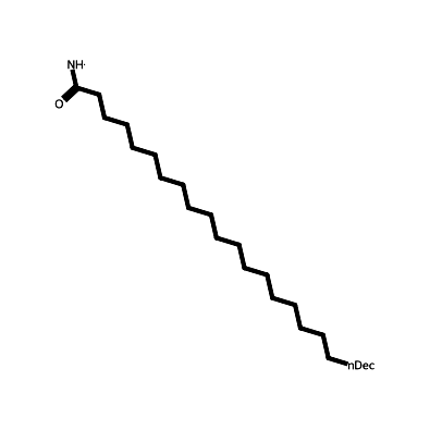 CCCCCCCCCCCCCCCCCCCCCCCCCCCCC([NH])=O